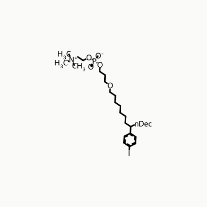 CCCCCCCCCCC(CCCCCCCOCCCOP(=O)([O-])OCC[N+](C)(C)C)c1ccc(I)cc1